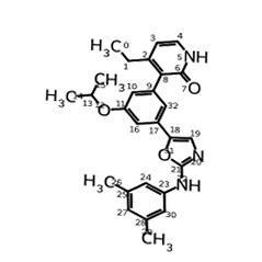 CCc1cc[nH]c(=O)c1-c1cc(OC(C)C)cc(-c2cnc(Nc3cc(C)cc(C)c3)o2)c1